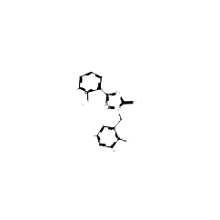 S=c1nc(-c2ccccc2Cl)[nH]n1Cc1ccccc1I